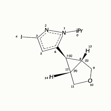 CC(C)n1nc(I)cc1[C@H]1[C@@H]2COC[C@@H]21